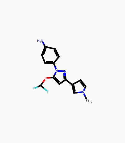 Cn1ccc(-c2cc(OC(F)F)n(-c3ccc(N)cc3)n2)c1